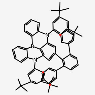 CC(C)(C)c1cc(N2c3ccccc3B3c4ccccc4N(c4cc(C(C)(C)C)cc(C(C)(C)C)c4)c4cc(-c5c(-c6ccccc6)cccc5-c5ccccc5)cc2c43)cc(C(C)(C)C)c1